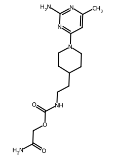 Cc1cc(N2CCC(CCNC(=O)OCC(N)=O)CC2)nc(N)n1